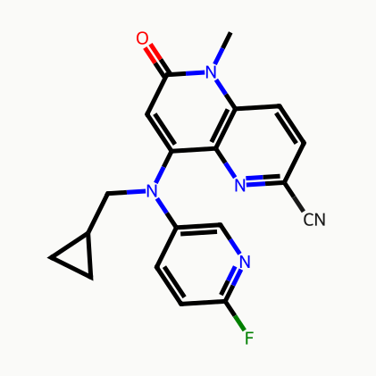 Cn1c(=O)cc(N(CC2CC2)c2ccc(F)nc2)c2nc(C#N)ccc21